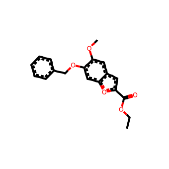 CCOC(=O)c1cc2cc(OC)c(OCc3ccccc3)cc2o1